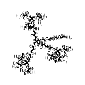 CC(C)(C)C(=O)OCC(COCC(=O)NCCC(=O)CCC(CNC(=O)CCNC(=O)COCC(COC(=O)C(C)(C)Br)(COC(=O)C(C)(C)Br)COC(=O)C(C)(C)Br)(CNC(=O)CCNC(=O)COCC(COC(=O)C(C)(C)Br)(COC(=O)C(C)(C)Br)COC(=O)C(C)(C)Br)COCCOCCOCCOCCN)(COC(=O)C(C)(C)Br)COC(=O)C(C)(C)Br